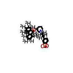 [2H]c1c([2H])c([2H])c(C([2H])(O[C@@H]2CCCN(C([2H])([2H])C([2H])([2H])c3ccc4c(c3)OCO4)C2)c2c([2H])c([2H])c([2H])c([2H])c2[2H])c([2H])c1[2H]